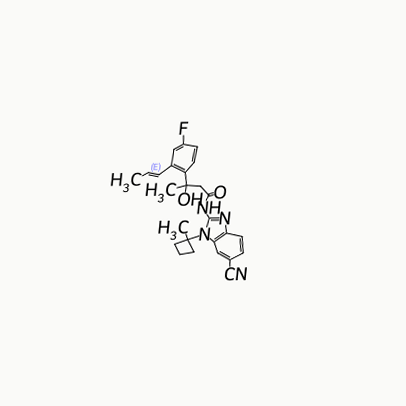 C/C=C/c1cc(F)ccc1C(C)(O)CC(=O)Nc1nc2ccc(C#N)cc2n1C1(C)CCC1